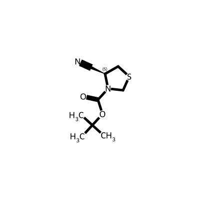 CC(C)(C)OC(=O)N1CSC[C@@H]1C#N